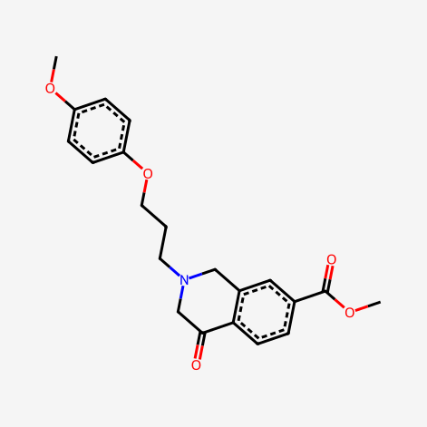 COC(=O)c1ccc2c(c1)CN(CCCOc1ccc(OC)cc1)CC2=O